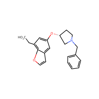 O=C(O)Cc1cc(O[C@@H]2CCN(Cc3ccccc3)C2)cc2ccoc12